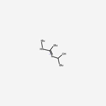 CC(C)(C)N/C(=N/C(O)C(C)(C)C)C(C)(C)C